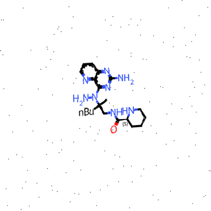 CCCCC(C)(CNC(=O)[C@@H]1CCCCN1)N(N)c1nc(N)nc2cccnc12